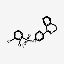 Cc1c(Cl)cccc1S(=O)(=O)Nc1ccc(C2=NCCc3ccccc32)cc1